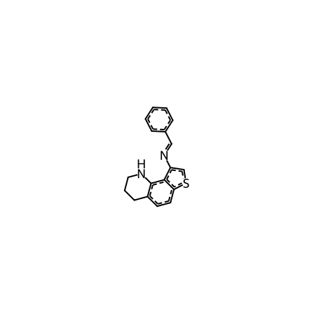 C(=Nc1csc2ccc3c(c12)NCCC3)c1ccccc1